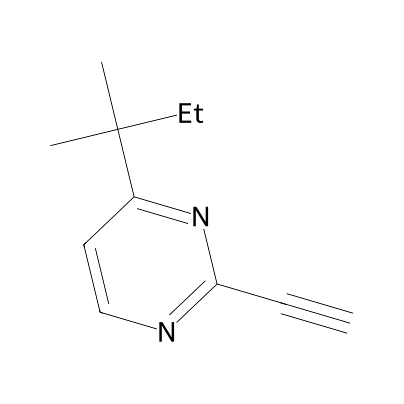 C#Cc1nccc(C(C)(C)CC)n1